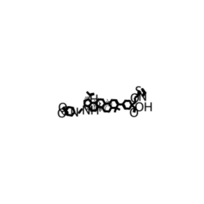 C=C(C)[C@@H]1CC[C@]2(NCCN3CCS(=O)(=O)CC3)CC[C@]3(C)[C@H](CCC4[C@@]5(C)CC=C(C6=CCC(COc7nccs7)(C(=O)O)CC6)C(C)(C)C5CC[C@]43C)C12